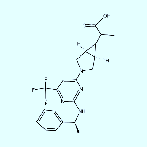 CC(C(=O)O)C1[C@H]2CN(c3cc(C(F)(F)F)nc(N[C@@H](C)c4ccccc4)n3)C[C@@H]12